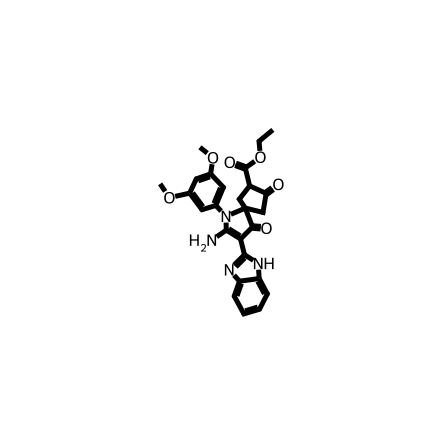 CCOC(=O)C1CC2(CC1=O)C(=O)C(c1nc3ccccc3[nH]1)=C(N)N2c1cc(OC)cc(OC)c1